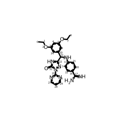 CCOc1cc(OCC)cc(C(Nc2ccc(C(=N)N)cc2)c2nn(-c3ncccn3)c(=O)[nH]2)c1